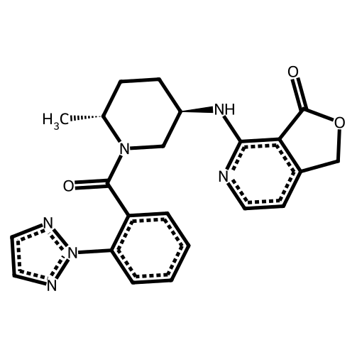 C[C@@H]1CC[C@@H](Nc2nccc3c2C(=O)OC3)CN1C(=O)c1ccccc1-n1nccn1